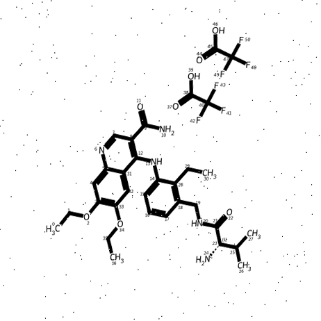 CCOc1cc2ncc(C(N)=O)c(Nc3cccc(CNC(=O)[C@@H](N)C(C)C)c3CC)c2cc1OCC.O=C(O)C(F)(F)F.O=C(O)C(F)(F)F